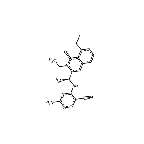 CCn1c([C@H](C)Nc2nc(N)ncc2C#N)cc2cccc(CI)c2c1=O